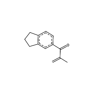 C=C(C)C(=O)c1ccc2c(c1)CCC2